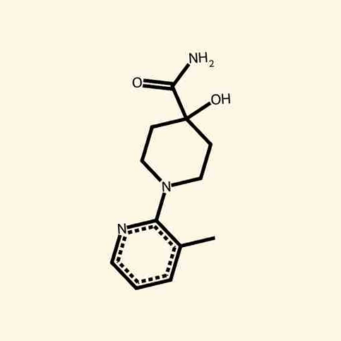 Cc1cccnc1N1CCC(O)(C(N)=O)CC1